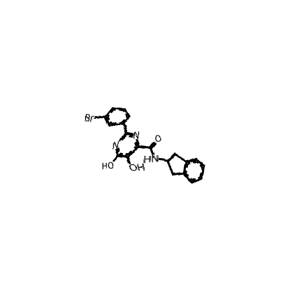 O=C(NC1Cc2ccccc2C1)c1nc(-c2cccc(Br)c2)nc(O)c1O